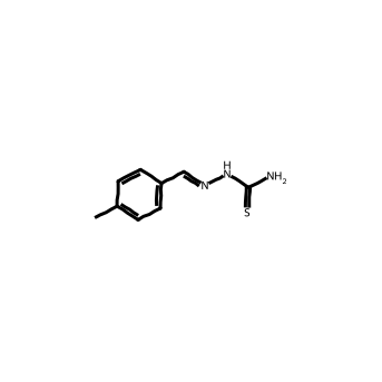 Cc1ccc(C=NNC(N)=S)cc1